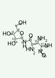 CN/C(C(=O)NC1OC(CO)C(O)C1O)=C(/N)C(=N)N=O